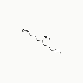 CCCCC(N)CCCN=O